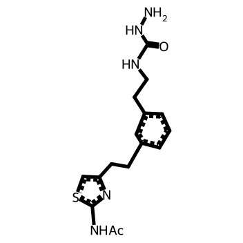 CC(=O)Nc1nc(CCc2cccc(CCNC(=O)NN)c2)cs1